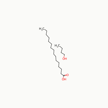 CCCCCCCCCCCCCCCC(=O)O.CCCCO